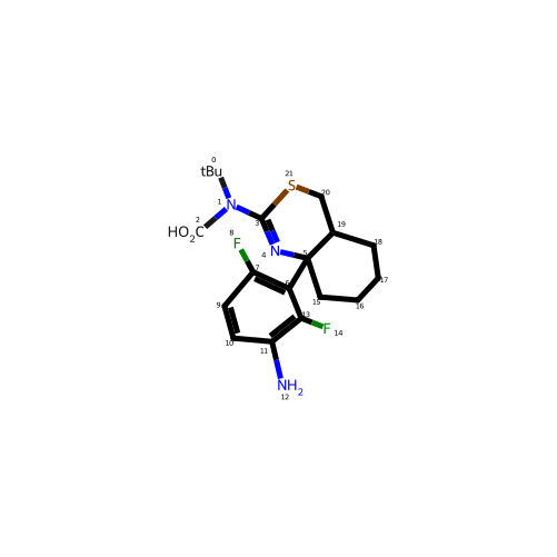 CC(C)(C)N(C(=O)O)C1=NC2(c3c(F)ccc(N)c3F)CCCCC2CS1